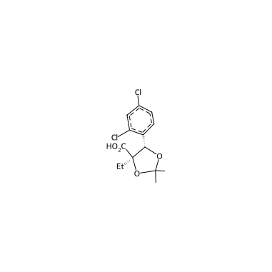 CC[C@@]1(C(=O)O)OC(C)(C)O[C@H]1c1ccc(Cl)cc1Cl